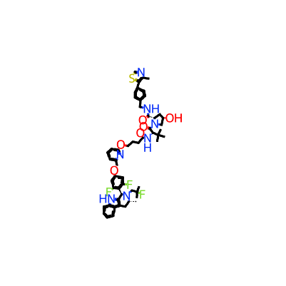 Cc1ncsc1-c1ccc(CNC(=O)[C@@H]2C[C@@H](O)CN2C(=O)[C@@H](NC(=O)CCCOc2cccc(COc3cc(F)c([C@@H]4c5[nH]c6ccccc6c5C[C@@H](C)N4CC(C)(C)F)c(F)c3)n2)C(C)(C)C)cc1